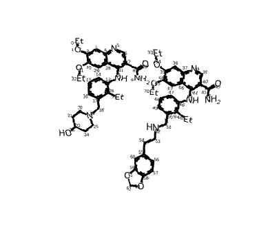 CCOc1cc2ncc(C(N)=O)c(Nc3cccc(CN4CCC(O)CC4)c3CC)c2cc1OCC.CCOc1cc2ncc(C(N)=O)c(Nc3cccc(CNCCc4ccc5c(c4)OCO5)c3CC)c2cc1OCC